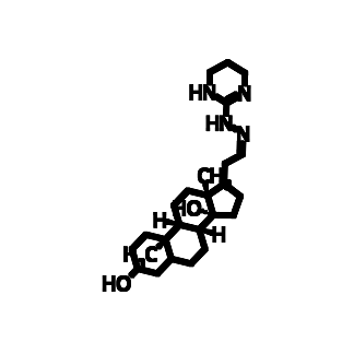 C[C@]12CCC(O)CC1CC[C@@H]1[C@H]2CC[C@]2(C)C(C/C=N\NC3=NCCCN3)CC[C@@]12O